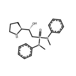 CN(c1ccccc1)P(=O)(C[C@@H](O)[C@@H]1CCCN1)N(C)c1ccccc1